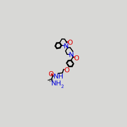 C[C@H](N)C(=O)NCCCOc1ccc(C(=O)N2CCC(N3C(=O)CCc4ccccc43)CC2)cc1